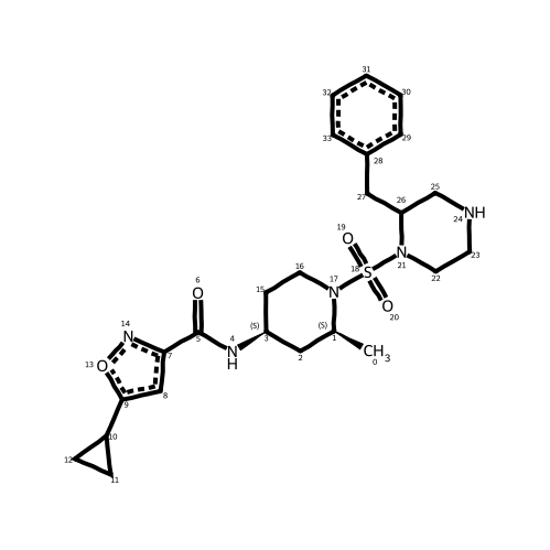 C[C@H]1C[C@@H](NC(=O)c2cc(C3CC3)on2)CCN1S(=O)(=O)N1CCNCC1Cc1ccccc1